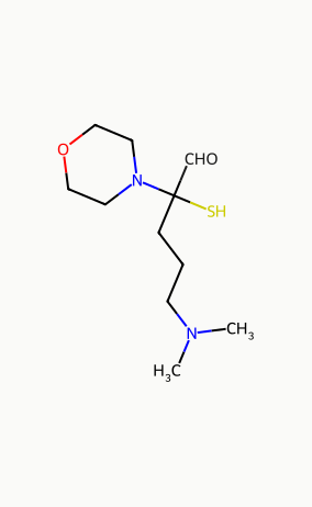 CN(C)CCCC(S)(C=O)N1CCOCC1